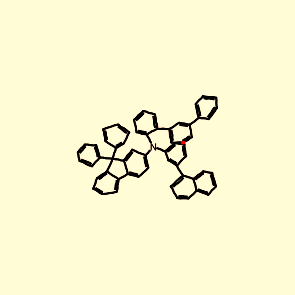 c1ccc(-c2cccc(-c3ccccc3N(c3cccc(-c4cccc5ccccc45)c3)c3ccc4c(c3)C(c3ccccc3)(c3ccccc3)c3ccccc3-4)c2)cc1